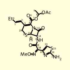 CC/C=C/C1=C(C(=O)OC(C)OC(C)=O)N2C(=O)[C@@H](NC(=O)/C(=N\OC)c3csc(N)n3)[C@H]2SC1